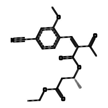 CCOC(=O)C[C@@H](C)OC(=O)C(=Cc1ccc(C#N)cc1OC)C(C)=O